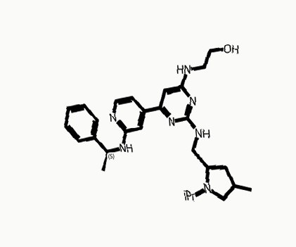 CC1CC(CNc2nc(NCCO)cc(-c3ccnc(N[C@@H](C)c4ccccc4)c3)n2)N(C(C)C)C1